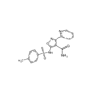 Cc1ccc(S(=O)(=O)Nc2onc(-c3ccccn3)c2C(N)=O)cc1